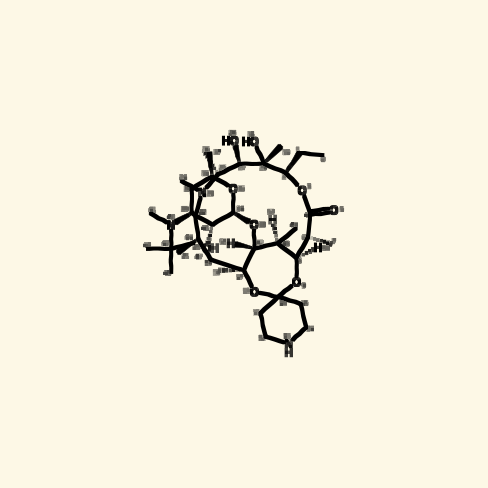 CC[C@H]1OC(=O)[C@H](C)[C@H]2OC3(CCNCC3)O[C@@](C)(C[C@@H](C)CN(C)[C@H](C)[C@@H](O)[C@]1(C)O)[C@H](O[C@@H]1O[C@H](C)C[C@H](N(C)C(C)(C)C)[C@H]1O)[C@H]2C